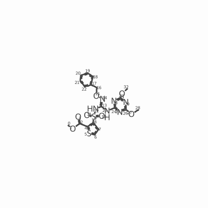 COC(=O)c1sccc1S(=O)(=O)NC(=NOCc1ccccc1)Nc1nc(OC)nc(OC)n1